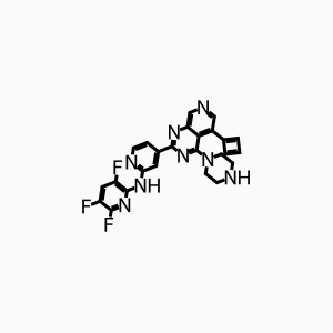 Fc1cc(F)c(Nc2cc(-c3nc(N4CCNCC4)c4c(C5=CC=C5)cncc4n3)ccn2)nc1F